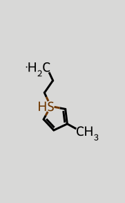 [CH2]CC[SH]1C=CC(C)=C1